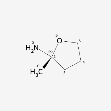 C[C@]1(N)CCCO1